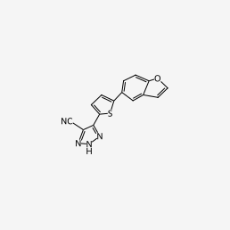 N#Cc1n[nH]nc1-c1ccc(-c2ccc3occc3c2)s1